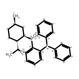 CC(C)[C@@H]1CC[C@@H](C)C[C@H]1P(C)c1ccccc1P(c1ccccc1)c1ccccc1